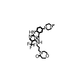 CN1CCN(c2ccc(Nc3ncc(C(F)(F)F)c(NCCCN4CCOCCC4=O)n3)c(C#N)c2)CC1